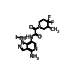 CC1CN(C(=O)C(=O)Nc2cnc(N)c3cnn(PI)c23)CCC1(F)F